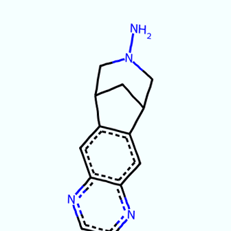 NN1CC2CC(C1)c1cc3nccnc3cc12